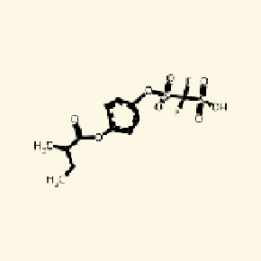 CCC(C)C(=O)Oc1ccc(OS(=O)(=O)C(F)(F)S(=O)(=O)O)cc1